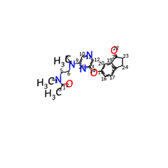 CC(=O)N(C)CCN(C)c1cncc(Oc2ccc3c(c2)C(=O)CC3)n1